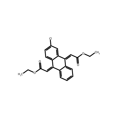 CCOC(=O)C=c1c2ccccc2c(=CC(=O)OCC)c2cc(Cl)ccc12